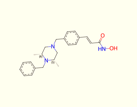 C[C@@H]1CN(Cc2ccc(C=CC(=O)NO)cc2)C[C@H](C)N1Cc1ccccc1